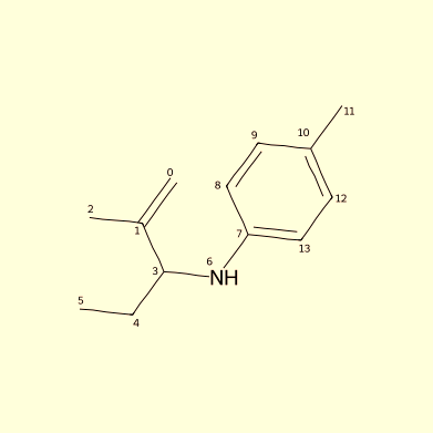 C=C(C)C(CC)Nc1ccc(C)cc1